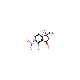 CC1(C)CC(=O)c2c1ccc([N+](=O)[O-])c2F